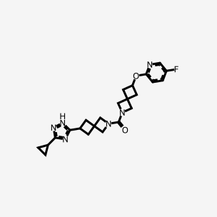 O=C(N1CC2(CC(Oc3ccc(F)cn3)C2)C1)N1CC2(CC(c3nc(C4CC4)n[nH]3)C2)C1